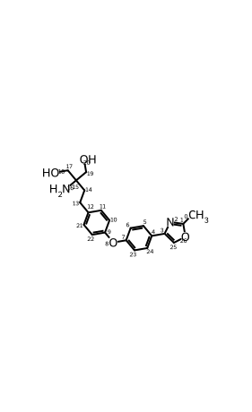 Cc1nc(-c2ccc(Oc3ccc(CCC(N)(CO)CO)cc3)cc2)co1